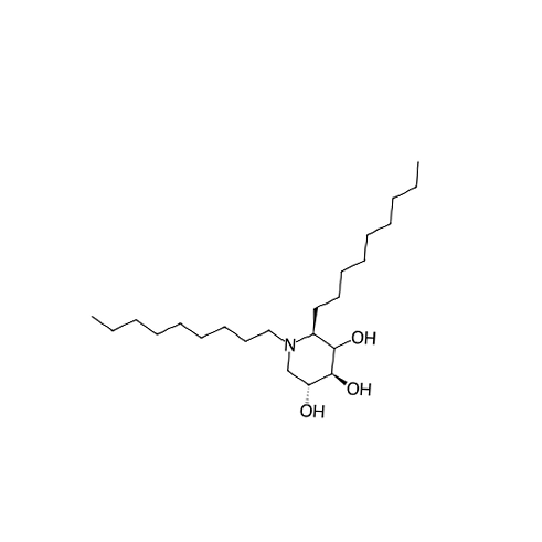 CCCCCCCCC[C@H]1C(O)[C@@H](O)[C@H](O)CN1CCCCCCCCC